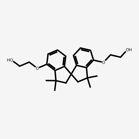 CC1(C)CC2(CC(C)(C)c3c(OCCO)cccc32)c2cccc(OCCO)c21